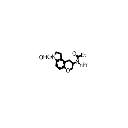 CCCN(C(=O)CC)C1COc2ccc3c(c2C1)CCN3C=O